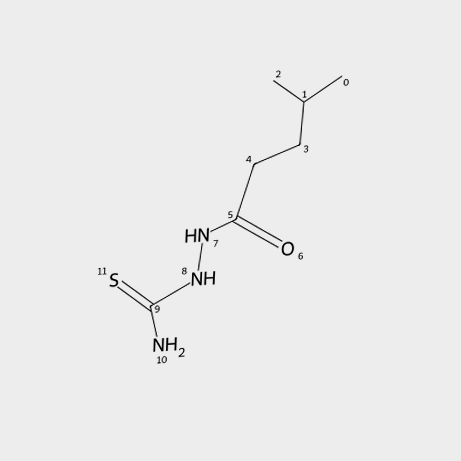 CC(C)CCC(=O)NNC(N)=S